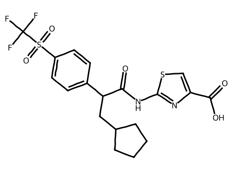 O=C(O)c1csc(NC(=O)C(CC2CCCC2)c2ccc(S(=O)(=O)C(F)(F)F)cc2)n1